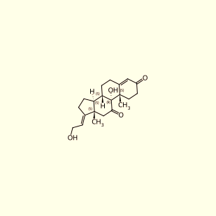 C[C@]12CCC(=O)C=C1CC[C@H]1[C@@H]3CCC(=CCO)[C@@]3(C)CC(=O)[C@@]12O